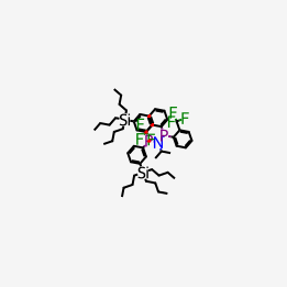 CCCC[Si](CCCC)(CCCC)c1cccc(P(c2cccc([Si](CCCC)(CCCC)CCCC)c2)N(C(C)C)P(c2ccccc2C(F)(F)F)c2ccccc2C(F)(F)F)c1